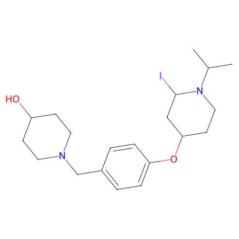 CC(C)N1CCC(Oc2ccc(CN3CCC(O)CC3)cc2)CC1I